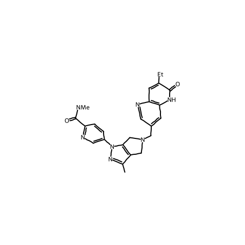 CCc1cc2ncc(CN3Cc4c(C)nn(-c5ccc(C(=O)NC)nc5)c4C3)cc2[nH]c1=O